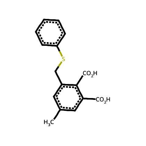 Cc1cc(CSc2ccccc2)c(C(=O)O)c(C(=O)O)c1